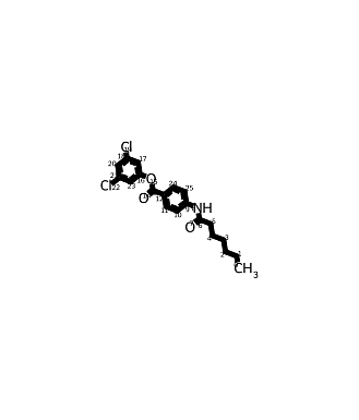 CCCCCCC(=O)Nc1ccc(C(=O)Oc2cc(Cl)cc(Cl)c2)cc1